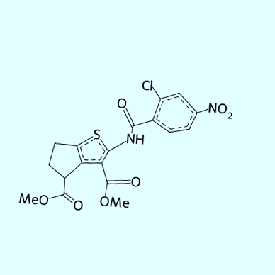 COC(=O)c1c(NC(=O)c2ccc([N+](=O)[O-])cc2Cl)sc2c1C(C(=O)OC)CC2